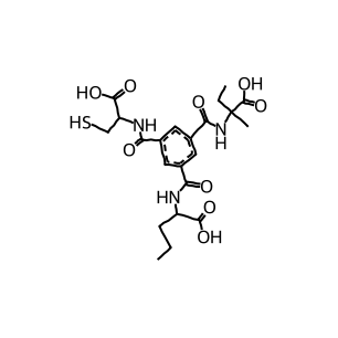 CCCC(NC(=O)c1cc(C(=O)NC(CS)C(=O)O)cc(C(=O)NC(C)(CC)C(=O)O)c1)C(=O)O